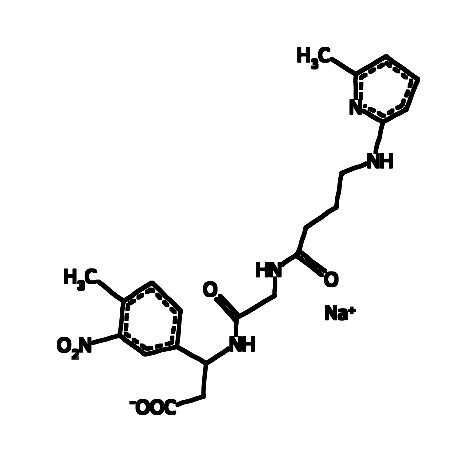 Cc1cccc(NCCCC(=O)NCC(=O)NC(CC(=O)[O-])c2ccc(C)c([N+](=O)[O-])c2)n1.[Na+]